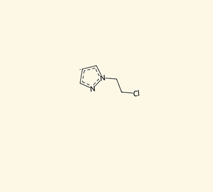 ClCCn1c[c]cn1